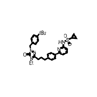 CCn1c(CCCc2ccc(-c3cccc(NS(=O)(=O)C4CC4)n3)cc2)nn(Cc2ccc(C(C)(C)C)cc2)c1=O